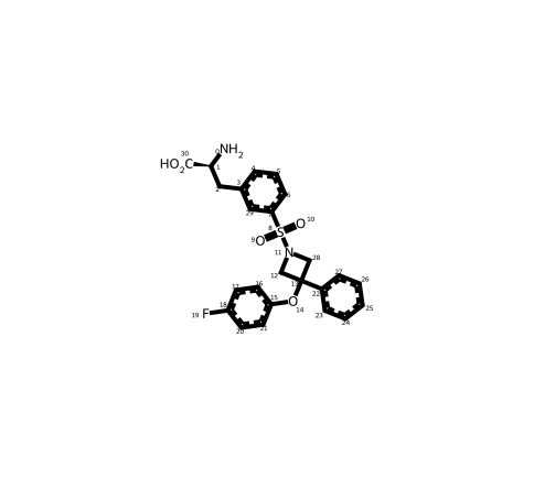 N[C@@H](Cc1cccc(S(=O)(=O)N2CC(Oc3ccc(F)cc3)(c3ccccc3)C2)c1)C(=O)O